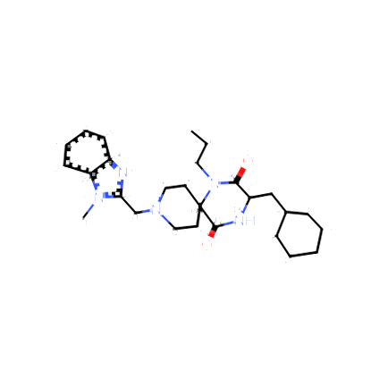 CCCN1C(=O)C(CC2CCCCC2)NC(=O)C12CCN(Cc1nc3ccccc3n1C)CC2